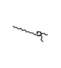 CCCCCCCCCCCC[n+]1ccc(CCC)c(CCC)c1